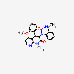 CCc1ccccc1N(C(N)=O)c1c(-c2ccccc2OC)c2cccnc2n(C)c1=O